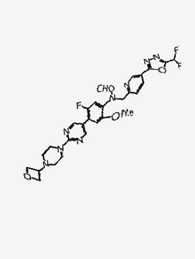 COc1cc(-c2cnc(N3CCN(C4COC4)CC3)nc2)c(F)cc1N(C=O)Cc1ccc(-c2nnc(C(F)F)o2)cn1